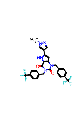 Cn1cc(-c2cc3c([nH]2)c(=O)n(Cc2ccc(C(F)(F)F)cc2)c(=O)n3Cc2ccc(C(F)(F)F)cc2)cn1